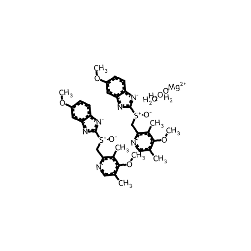 COc1ccc2[n-]c([S@@+]([O-])Cc3ncc(C)c(OC)c3C)nc2c1.COc1ccc2[n-]c([S@@+]([O-])Cc3ncc(C)c(OC)c3C)nc2c1.O.O.O.[Mg+2]